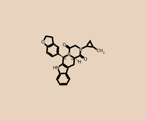 CC1CC1N1CC(=O)N2[C@H](c3ccc4c(c3)CCO4)c3[nH]c4ccccc4c3C[C@@H]2C1=O